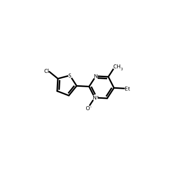 CCc1c[n+]([O-])c(-c2ccc(Cl)s2)nc1C